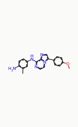 COc1ccc(-c2cnc3c(Nc4ccc(N)c(C)c4)nccn23)cc1